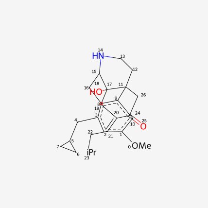 COc1cc(CC2CC2)c2c(c1)C13CCNC(C2)C1(O)CC(=CCC(C)C)C(=O)C3